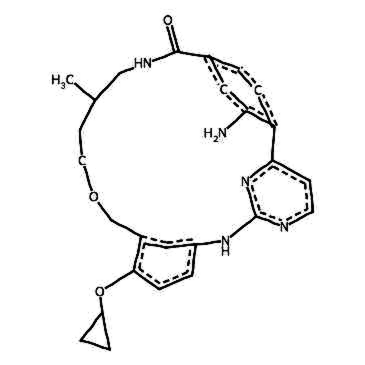 CC1CCOCc2cc(ccc2OC2CC2)Nc2nccc(n2)-c2ccc(cc2N)C(=O)NC1